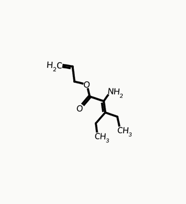 C=CCOC(=O)C(N)=C(CC)CC